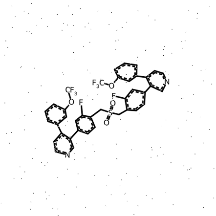 O=S(=O)(Cc1ccc(-c2cnccc2-c2cccc(OC(F)(F)F)c2)cc1F)Cc1ccc(-c2cnccc2-c2cccc(OC(F)(F)F)c2)cc1F